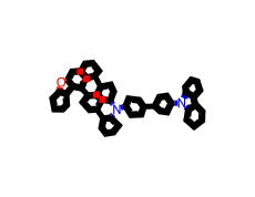 c1ccc(-c2ccc(N(c3ccc(-c4ccc(-n5c6ccccc6c6ccccc65)cc4)cc3)c3ccccc3-c3ccc(-c4cccc5oc6ccccc6c45)cc3)cc2)cc1